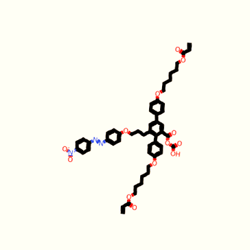 C=CC(=O)OCCCCCCOc1ccc(-c2cc(CCCOc3ccc(N=Nc4ccc([N+](=O)[O-])cc4)cc3)c(-c3ccc(OCCCCCCOC(=O)C=C)cc3)c(C(=O)OC(=O)O)c2)cc1